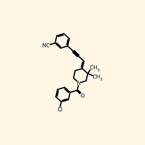 CC1(C)CN(C(=O)c2cccc(Cl)c2)CC/C1=C\C#Cc1cccc(C#N)c1